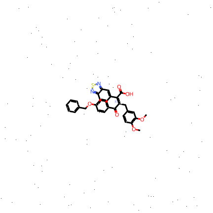 COc1ccc(C/C(C(=O)c2ccc(OCc3ccccc3)cc2)=C(\C(=O)O)c2ccc3nsnc3c2)cc1OC